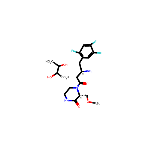 CC(C)(C)OC[C@@H]1C(=O)NCCN1C(=O)C[C@H](N)Cc1cc(F)c(F)cc1F.O=C(O)C(O)C(O)C(=O)O